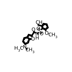 CCc1cccc(OC)c1S(=O)(=O)NC(=O)c1cc2ccc(N(C)C)cc2o1